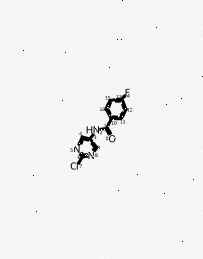 O=C(Nc1cnc(Cl)nc1)c1ccc(F)cc1